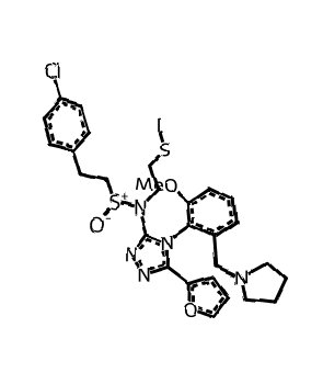 COc1cccc(CN2CCCC2)c1-n1c(-c2ccco2)nnc1N(CCSI)[S+]([O-])CCc1ccc(Cl)cc1